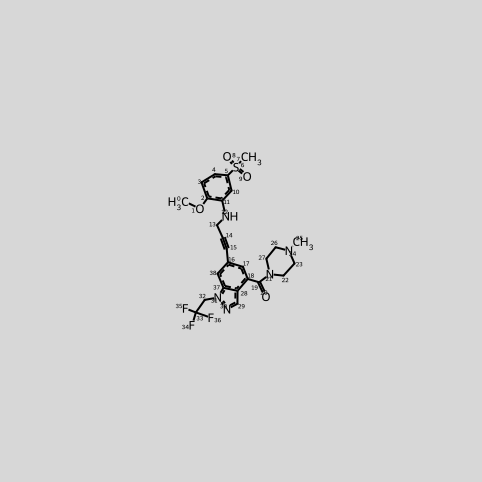 COc1ccc(S(C)(=O)=O)cc1NCC#Cc1cc(C(=O)N2CCN(C)CC2)c2cnn(CC(F)(F)F)c2c1